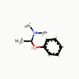 CCCN(CCC)C(C)Oc1cc[c]cc1